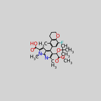 COC(=O)C(OC(C)(C)C)c1c(C)nc2c(cc(C(=O)O)n2C)c1-c1cc(F)c2c(c1C)CCCO2